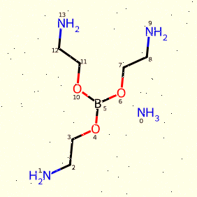 N.NCCOB(OCCN)OCCN